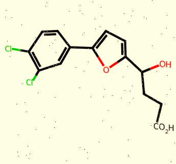 O=C(O)CCC(O)c1ccc(-c2ccc(Cl)c(Cl)c2)o1